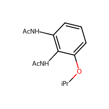 CC(=O)Nc1cccc(OC(C)C)c1NC(C)=O